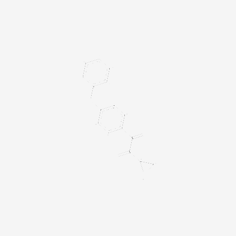 O=C(C(=O)C1CO1)c1ccc(Sc2ccccc2)cc1